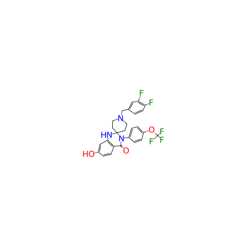 O=C1c2ccc(O)cc2NC2(CCN(Cc3ccc(F)c(F)c3)CC2)N1c1ccc(OC(F)(F)F)cc1